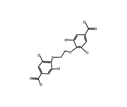 O=C(Cl)c1cc(Cl)c(OCCOc2c(Cl)cc(C(=O)Cl)cc2Cl)c(Cl)c1